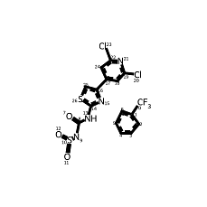 FC(F)(F)c1ccccc1.O=C(N=S(=O)=O)Nc1nc(-c2cc(Cl)nc(Cl)c2)cs1